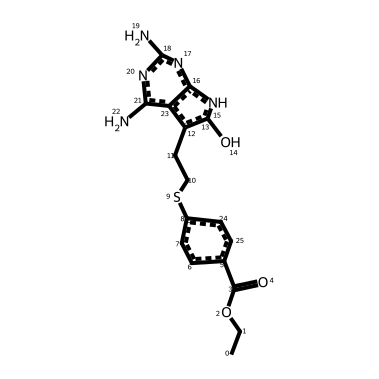 CCOC(=O)c1ccc(SCCc2c(O)[nH]c3nc(N)nc(N)c23)cc1